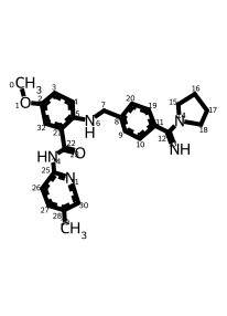 COc1ccc(NCc2ccc(C(=N)N3CCCC3)cc2)c(C(=O)Nc2ccc(C)cn2)c1